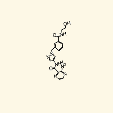 Nc1nccnc1C(=O)Nc1cnn(Cc2cccc(C(=O)NCCO)c2)c1